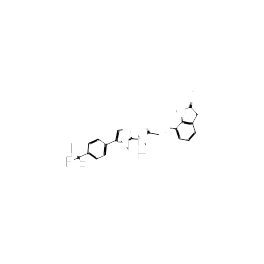 O=C(COc1cccc2c1OC(=O)C2)Nc1nc(-c2ccc(C(F)(F)F)cc2)cs1